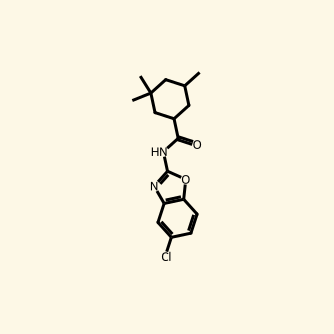 CC1CC(C(=O)Nc2nc3cc(Cl)ccc3o2)CC(C)(C)C1